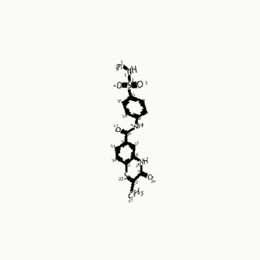 CC(C)NS(=O)(=O)c1ccc(NC(=O)c2ccc3c(c2)NC(=O)C(C)S3)cc1